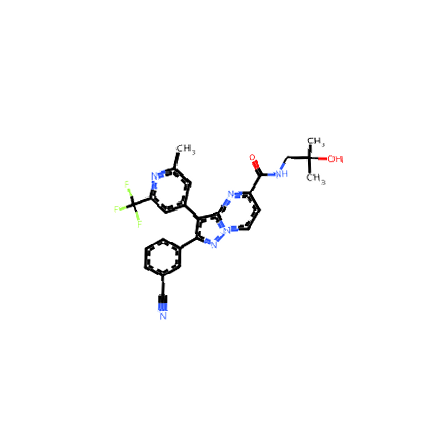 Cc1cc(-c2c(-c3cccc(C#N)c3)nn3ccc(C(=O)NCC(C)(C)O)nc23)cc(C(F)(F)F)n1